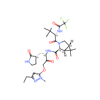 CCc1cc(OCC(=O)[C@H](C[C@@H]2CCNC2=O)NC(=O)[C@@H]2[C@@H]3[C@H](CN2C(=O)[C@@H](NC(=O)C(F)(F)F)C(C)(C)C)C3(C)C)n(C)n1